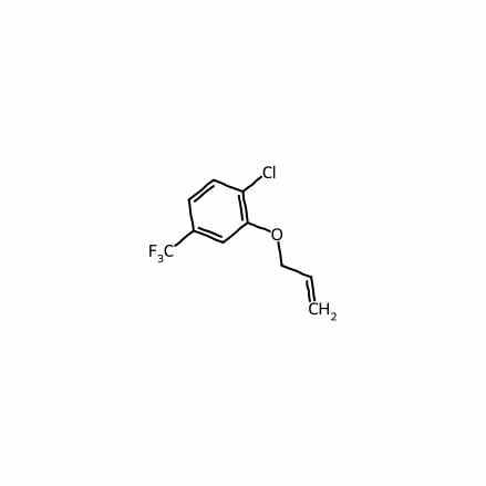 C=CCOc1cc(C(F)(F)F)ccc1Cl